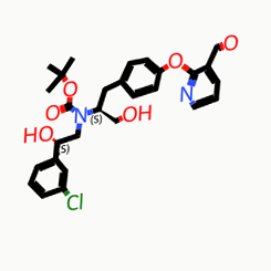 CC(C)(C)OC(=O)N(C[C@@H](O)c1cccc(Cl)c1)[C@H](CO)Cc1ccc(Oc2ncccc2C=O)cc1